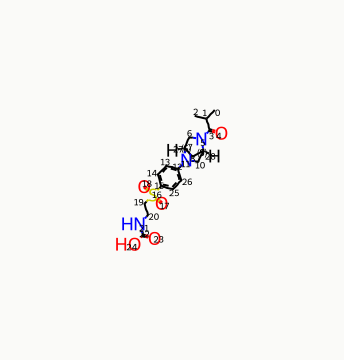 CC(C)C(=O)N1C[C@@H]2C[C@H]1CN2c1ccc(S(=O)(=O)CCNC(=O)O)cc1